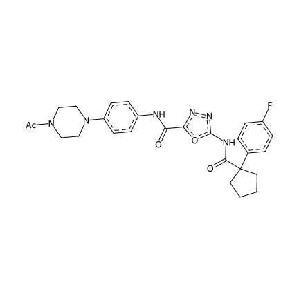 CC(=O)N1CCN(c2ccc(NC(=O)c3nnc(NC(=O)C4(c5ccc(F)cc5)CCCC4)o3)cc2)CC1